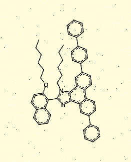 CCCCCCOc1ccc2ccccc2c1-c1nc2c3cc(-c4ccccc4)ccc3c3ccc(-c4ccc(-c5ccccc5)cc4)cc3c2n1CCCCCC